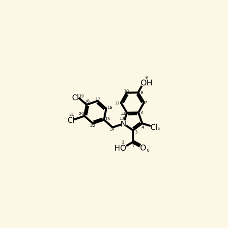 O=C(O)c1c(Cl)c2cc(O)ccc2n1Cc1ccc(Cl)c(Cl)c1